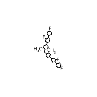 Cc1cc(-c2ccc(-c3ccc(F)cc3)c(F)c2)ccc1Cc1ccc(-c2ccc(-c3ccc(F)cc3)c(F)c2)cc1C